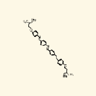 CC(CCOc1ccc(CCc2ccc(/N=N/c3ccc(/N=N/c4ccc(OCCC(C)CC(C)(C)C)cc4)cc3)cc2)cc1)CC(C)(C)C